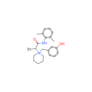 CCC(C(=O)Nc1c(C)cccc1C)[N+]1(Cc2cccc(O)c2)CCCCC1